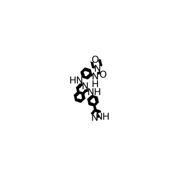 O=C(Nc1cccc(Nc2cc3ccccc3c(Nc3ccc(-c4cn[nH]c4)cc3)n2)c1)N1CCOCC1